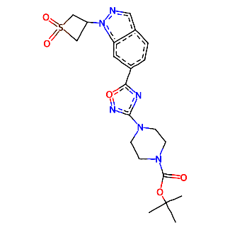 CC(C)(C)OC(=O)N1CCN(c2noc(-c3ccc4cnn(C5CS(=O)(=O)C5)c4c3)n2)CC1